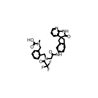 CN(Cc1ccccc1CN(CC(=O)Nc1ccc2c(c1)CC1(C2)C(=O)Nc2ncccc21)C(=O)C(F)(F)F)C(=O)O